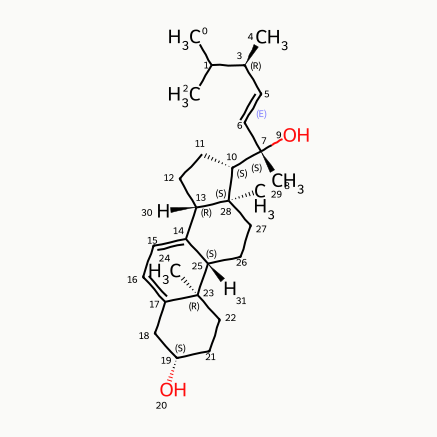 CC(C)[C@@H](C)/C=C/[C@](C)(O)[C@H]1CC[C@H]2C3=CC=C4C[C@@H](O)CC[C@]4(C)[C@H]3CC[C@@]21C